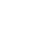 Nc1nc(Cl)c2nc3n(c2n1)CCCS3